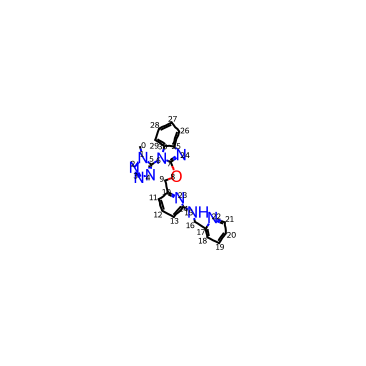 Cn1nnnc1-n1c(OCc2cccc(NCc3ccccn3)n2)nc2ccccc21